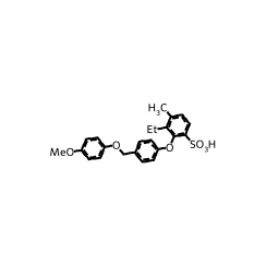 CCc1c(C)ccc(S(=O)(=O)O)c1Oc1ccc(COc2ccc(OC)cc2)cc1